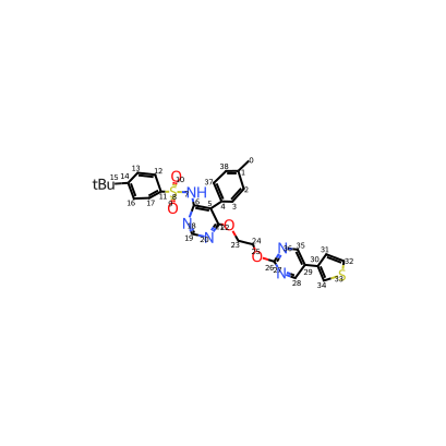 Cc1ccc(-c2c(NS(=O)(=O)c3ccc(C(C)(C)C)cc3)ncnc2OCCOc2ncc(-c3ccsc3)cn2)cc1